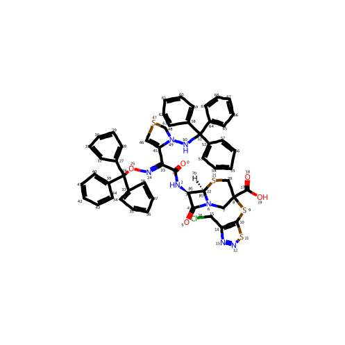 O=C(N[C@@H]1C(=O)N2CC(Sc3snnc3CCl)(C(=O)O)CS[C@H]12)C(=NOC(c1ccccc1)(c1ccccc1)c1ccccc1)C1=CSCN1NC(c1ccccc1)(c1ccccc1)c1ccccc1